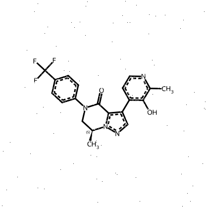 Cc1nccc(-c2cnn3c2C(=O)N(c2ccc(C(F)(F)F)cc2)C[C@@H]3C)c1O